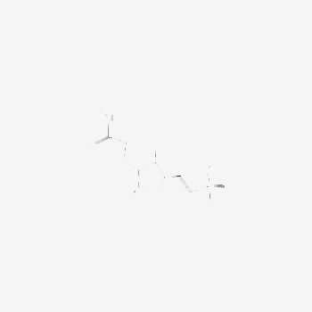 B[C@@H]1O[C@H](/C=C/P(=O)(O)O)C(O)C1OCC(=O)NC